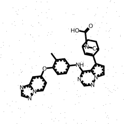 Cc1cc(Nc2ncnn3ccc(C4=CC5CCC4CN5C(=O)O)c23)ccc1Oc1ccn2ncnc2c1